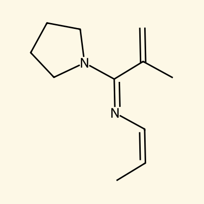 C=C(C)/C(=N\C=C/C)N1CCCC1